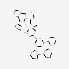 C=CC1=C(/C=C\C)c2cc3ccsc3cc2[C@]12c1ccccc1Sc1cc(-c3cc(-c4ccccc4-c4ccccc4)nc(-c4ccccc4)n3)ccc12